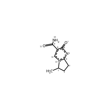 CC1CCc2nc(=O)c(C(N)=O)cn21